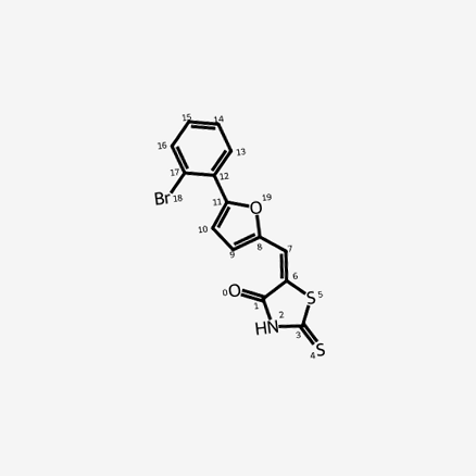 O=C1NC(=S)SC1=Cc1ccc(-c2ccccc2Br)o1